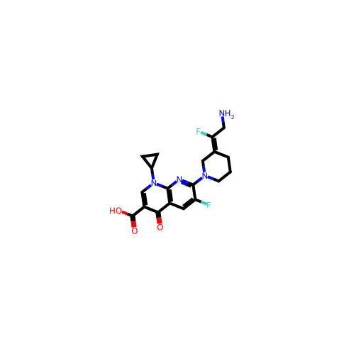 NCC(F)=C1CCCN(c2nc3c(cc2F)c(=O)c(C(=O)O)cn3C2CC2)C1